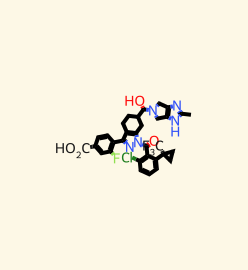 Cc1nc2c([nH]1)CN(C(O)C1CCc3c(-c4ccc(C(=O)O)cc4F)nn(C(=O)c4c(Cl)cccc4C4(C(F)(F)F)CC4)c3C1)C2